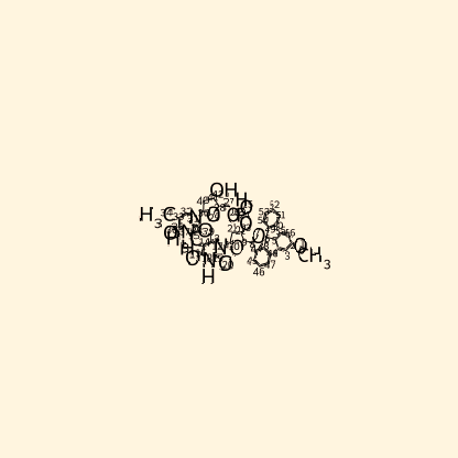 COc1ccc(C(OC[C@H]2O[C@@H](n3cc(C)c(=O)[nH]c3=O)C[C@@H]2O[PH](=O)OC[C@H]2O[C@@H](n3cc(C)c(=O)[nH]c3=O)C[C@@H]2O)(c2ccccc2)c2ccccc2)cc1